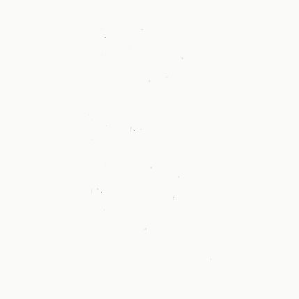 O=C([C@H]1CNCC[C@@]12OCc1cc(F)c(F)cc12)N(Cc1ccc(Br)c2ccccc12)C1CC1